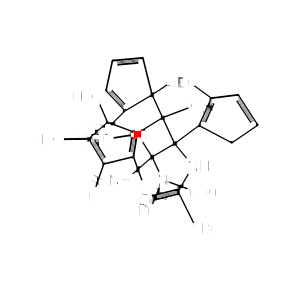 CCCCN(C(C)C)C(NC=O)(NC(C)=O)C(NC(=O)CCC)(C1=C(CC)C=CC1)C(C)(C1=C(C)C(C)=C(C)C1C)C1(CC)C=CC=C1CC